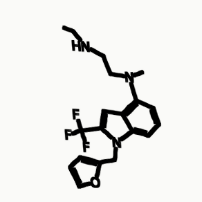 CCNCCN(C)c1cccc2c1cc(C(F)(F)F)n2Cc1ccco1